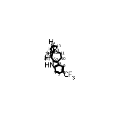 FC(F)(F)c1ccc2[nH]c3c(c2c1)CCN1C[C@H]2C[C@@H]3[C@@H]1C2